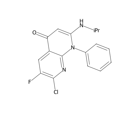 CC(C)Nc1cc(=O)c2cc(F)c(Cl)nc2n1-c1ccccc1